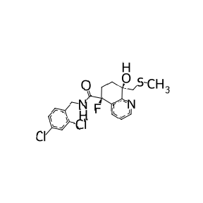 CSC[C@@]1(O)CC[C@@](F)(C(=O)NCc2ccc(Cl)cc2Cl)c2cccnc21